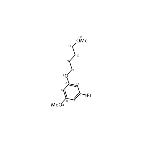 CCc1cc(OC)cc(OCCCCOC)c1